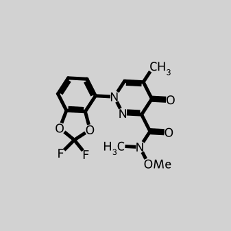 CON(C)C(=O)c1nn(-c2cccc3c2OC(F)(F)O3)cc(C)c1=O